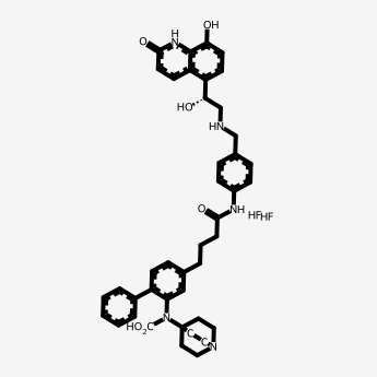 F.F.O=C(CCCc1ccc(-c2ccccc2)c(N(C(=O)O)C23CCN(CC2)CC3)c1)Nc1ccc(CNC[C@H](O)c2ccc(O)c3[nH]c(=O)ccc23)cc1